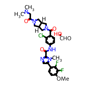 COc1ccc(-c2cnc(C(=O)Nc3ccc(C(=O)N4C[C@H]5CN(C(=O)CN(C)C)C[C@H]5C4)c(Cl)c3)n2C)c(F)c1F.O=CO